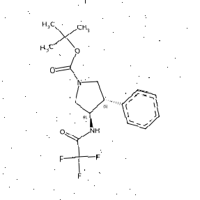 CC(C)(C)OC(=O)N1C[C@H](NC(=O)C(F)(F)F)[C@@H](c2ccccc2)C1